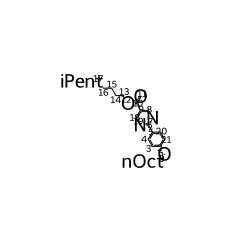 CCCCCCCCOc1ccc(-c2ncc(C(=O)OCCCCC(C)CCC)cn2)cc1